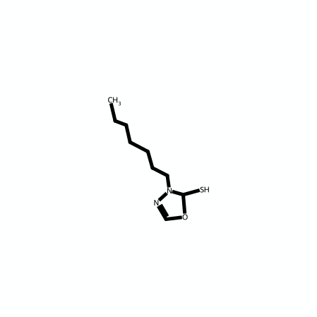 CCCCCCCN1N=COC1S